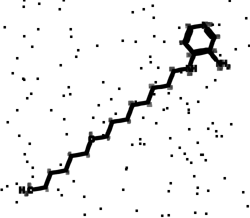 CCCCCCOCCCCCCCCNc1ccncc1N